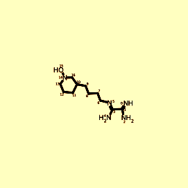 N=C(N)C(N)=NCCCCC1CCCN(O)C1